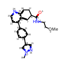 COCCNC(=O)C1C=c2c(-c3ccc(-c4cnn(C)c4)cc3)ccnc2=CC1